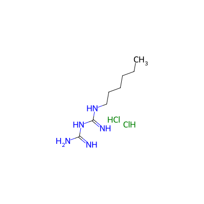 CCCCCCNC(=N)NC(=N)N.Cl.Cl